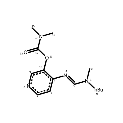 CCCCN(C)C=Nc1ccncc1OC(=O)N(C)C